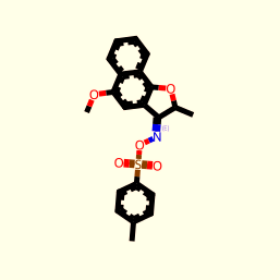 COc1cc2c(c3ccccc13)OC(C)/C2=N/OS(=O)(=O)c1ccc(C)cc1